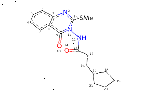 CSc1nc2ccccc2c(=O)n1NC(=O)CCC1CCCC1